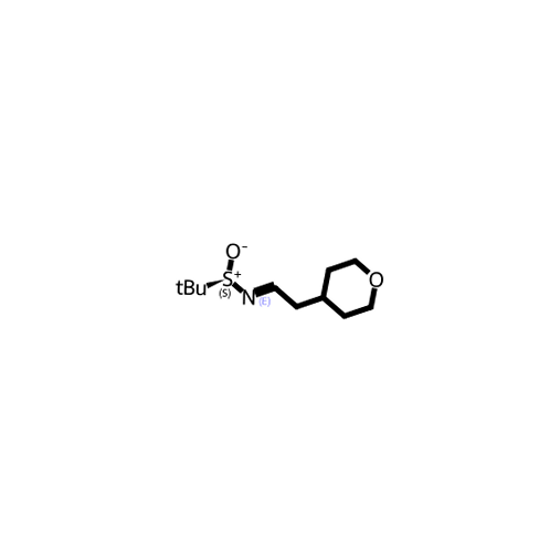 CC(C)(C)[S@@+]([O-])/N=C/CC1CCOCC1